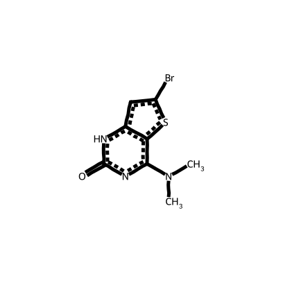 CN(C)c1nc(=O)[nH]c2cc(Br)sc12